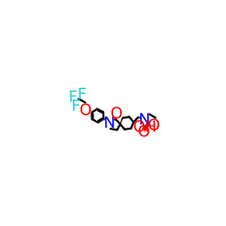 O=C1OCCN1C[C@]1(O)CC[C@]2(CCN(c3ccc(OCC(F)(F)F)cc3)C2=O)CC1